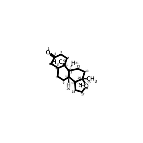 C[C@]12CCC(=O)CC1CC[C@@H]1[C@@H]2CC[C@]2(C)OCC[C@@H]12